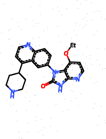 CCOc1ccnc2[nH]c(=O)n(-c3ccc4nccc(C5CCNCC5)c4c3)c12